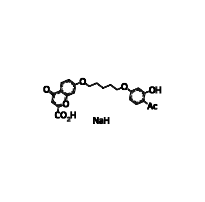 CC(=O)c1ccc(OCCCCCOc2ccc3c(=O)cc(C(=O)O)oc3c2)cc1O.[NaH]